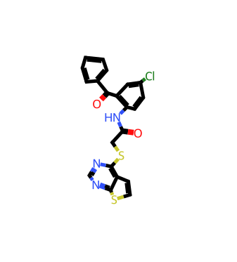 O=C(CSc1ncnc2sccc12)Nc1ccc(Cl)cc1C(=O)c1ccccc1